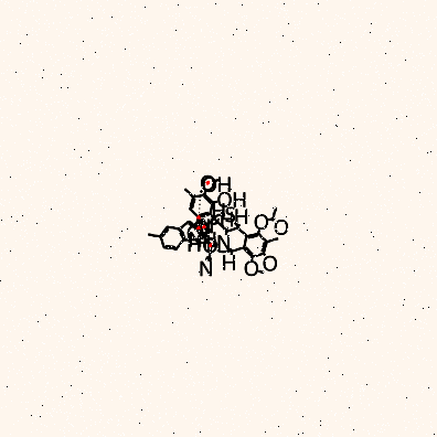 COc1c(C)cc2c(c1O)[C@H]1[C@@H]3[C@@H]4SC[C@]5(N[C@@H](CO)Cc6c5[nH]c5ccc(C)cc65)C(=O)OC[C@@H](c5c6c(c(C)c(OC(C)=O)c54)OCO6)N3[C@@H](C#N)[C@H](C2)N1C